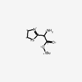 CC(C)(C)OC(=O)C(N)C1=NCCS1